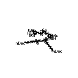 CC(OC(=O)CCc1cc(C(C)(C)C)c(O)c(C(C)(C)C)c1)OC(=O)CCc1cc(C(C)(C)C)c(O)c(C(C)(C)C)c1.CCCCCCCCCCCCCCCCCCOC(=O)CCSCCC(=O)OCCCCCCCCCCCCCCCCCC